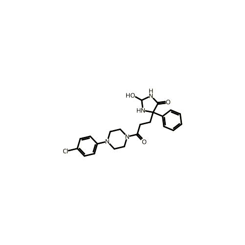 O=C(CCC1(c2ccccc2)NC(O)NC1=O)N1CCN(c2ccc(Cl)cc2)CC1